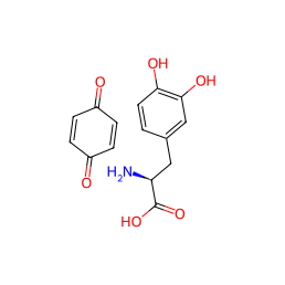 N[C@@H](Cc1ccc(O)c(O)c1)C(=O)O.O=C1C=CC(=O)C=C1